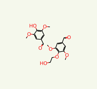 COc1cc(C=O)cc(OC)c1O.COc1cc(C=O)cc(OC)c1OCCO